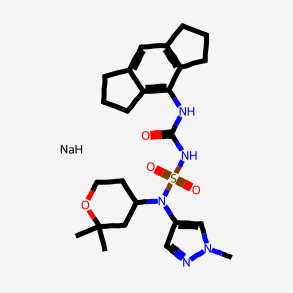 Cn1cc(N(C2CCOC(C)(C)C2)S(=O)(=O)NC(=O)Nc2c3c(cc4c2CCC4)CCC3)cn1.[NaH]